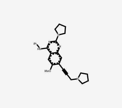 COc1cc2c(NC(C)C)nc(N3CCCC3)nc2cc1C#CCN1CCCC1